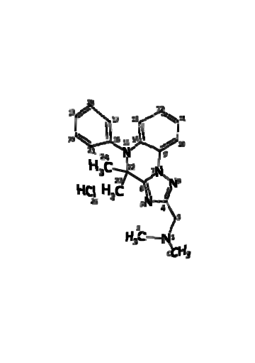 CN(C)Cc1nc2n(n1)-c1ccccc1N(c1ccccc1)C2(C)C.Cl